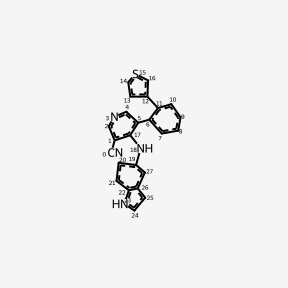 N#Cc1cncc(-c2ccccc2-c2ccsc2)c1Nc1ccc2[nH]ccc2c1